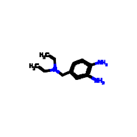 CCN(CC)Cc1ccc(N)c(N)c1